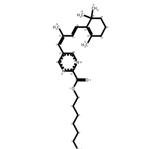 CCCCCCCOC(=O)c1ncc(C=C(C)C=CC2=C(C)CCCC2(C)C)cn1